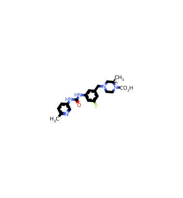 Cc1ccc(NC(=O)Nc2cc(F)cc(CN3CCN(C(=O)O)[C@H](C)C3)c2)cn1